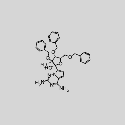 C[C@@]1(OCc2ccccc2)[C@H](OCc2ccccc2)[C@@H](COCc2ccccc2)O[C@@]1(O)c1ccc2c(N)nc(N)nn12